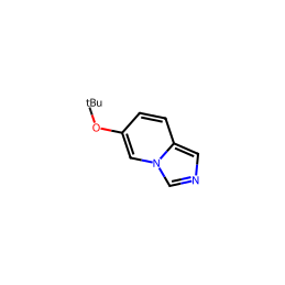 CC(C)(C)Oc1ccc2cncn2c1